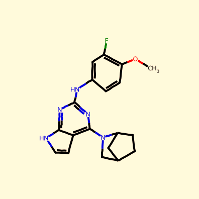 COc1ccc(Nc2nc(N3CC4CCC3C4)c3cc[nH]c3n2)cc1F